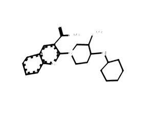 COC(=O)c1cc2ccccc2nc1N1CCC(NC2CCCCC2)C(OC)C1